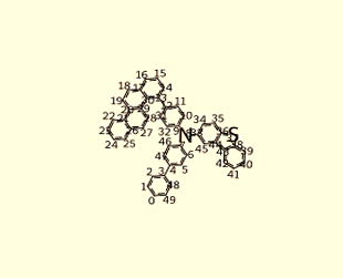 c1ccc(-c2ccc(N(c3ccc(-c4cccc5ccc6c7ccccc7ccc6c45)cc3)c3ccc4sc5ccccc5c4c3)cc2)cc1